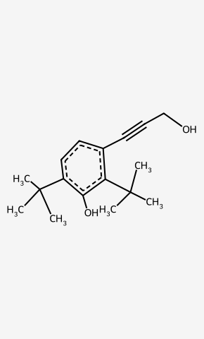 CC(C)(C)c1ccc(C#CCO)c(C(C)(C)C)c1O